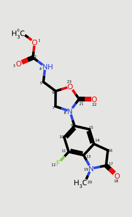 COC(=O)NCC1CN(c2cc(F)c3c(c2)CC(=O)N3C)C(=O)O1